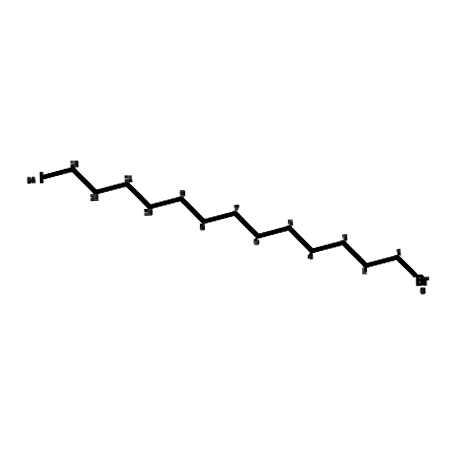 BrCCCCCCCCCCCCCI